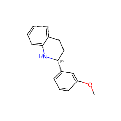 COc1cccc([C@H]2CCc3ccccc3N2)c1